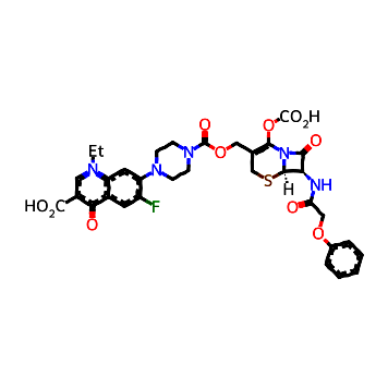 CCn1cc(C(=O)O)c(=O)c2cc(F)c(N3CCN(C(=O)OCC4=C(OC(=O)O)N5C(=O)[C@@H](NC(=O)COc6ccccc6)[C@H]5SC4)CC3)cc21